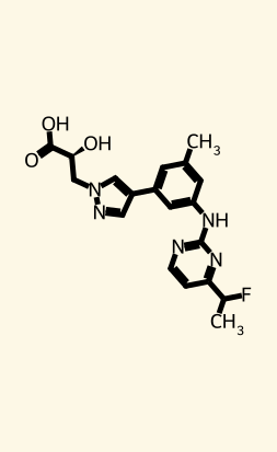 Cc1cc(Nc2nccc(C(C)F)n2)cc(-c2cnn(C[C@H](O)C(=O)O)c2)c1